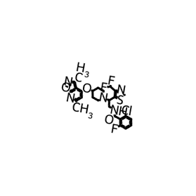 Cc1cc(OC2CCN(C(CNC(=O)c3c(F)cccc3Cl)c3scnc3C(F)F)CC2)c2c(C)noc2n1